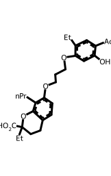 CCCc1c(OCCCOc2cc(O)c(C(C)=O)cc2CC)ccc2c1OC(CC)(C(=O)O)CC2